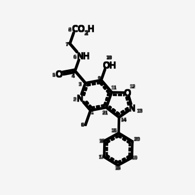 Cc1nc(C(=O)NCC(=O)O)c(O)c2onc(-c3ccccc3)c12